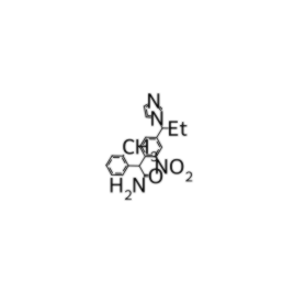 CCC(c1ccc(C(C(N)=O)c2ccccc2C)c([N+](=O)[O-])c1)n1ccnc1